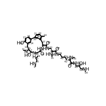 CNCCC[C@@H]1NC(=O)[C@@H](NC)Cc2cc(ccc2O)-c2ccc(C)c(c2)C[C@@H](C(=O)NC[C@H](NC)C(=O)NCCCC[C@H](NC)C(=O)NCC(O)CNC)NC1=O